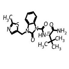 Cc1ncc(Cn2c(=O)n(C(=O)N[C@H](C(N)=O)C(C)(C)C)c3ccccc32)s1